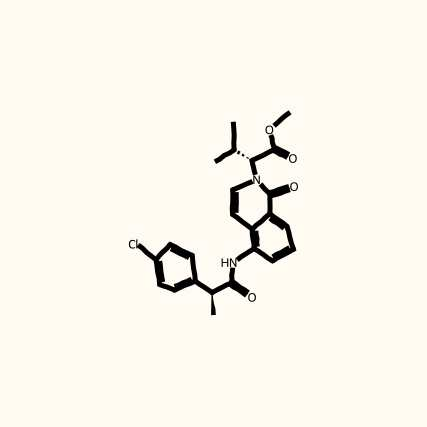 COC(=O)[C@@H](C(C)C)n1ccc2c(NC(=O)[C@@H](C)c3ccc(Cl)cc3)cccc2c1=O